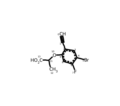 C#Cc1cc(Br)c(F)cc1OC(C)C(=O)O